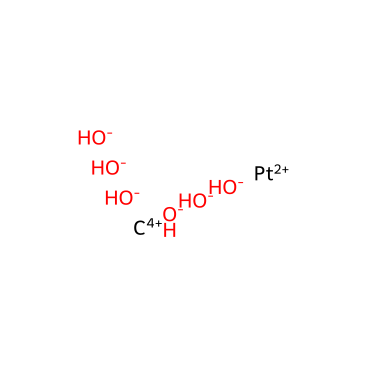 [C+4].[OH-].[OH-].[OH-].[OH-].[OH-].[OH-].[Pt+2]